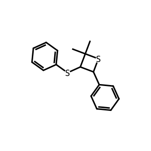 CC1(C)SC(c2ccccc2)C1Sc1ccccc1